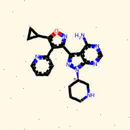 Nc1ncnc2c1c(-c1noc(C3CC3)c1-c1ccccn1)nn2[C@@H]1CCCNC1